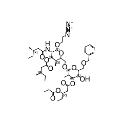 CCC(=O)O[C@H](CC)CC(=O)O[C@@H]1C(C)[C@H](OCC2O[C@H](OCCN=[N+]=[N-])C(NC(=O)C[C@H](C)CC)[C@@H](OC(=O)C[C@H](C)CC)[C@@H]2C)OC(COCc2ccccc2)[C@H]1O